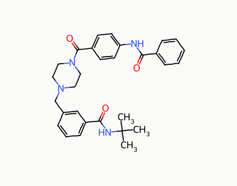 CC(C)(C)NC(=O)c1cccc(CN2CCN(C(=O)c3ccc(NC(=O)c4ccccc4)cc3)CC2)c1